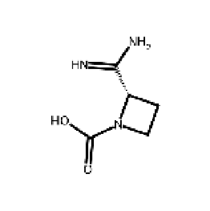 N=C(N)[C@@H]1CCN1C(=O)O